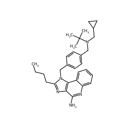 CCCCc1nc2c(N)nc3ccccc3c2n1Cc1ccc(CN(CC2CC2)C(C)(C)C)cc1